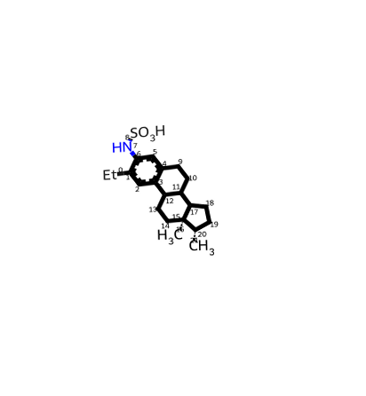 CCc1cc2c(cc1NS(=O)(=O)O)CCC1C2CC[C@@]2(C)C1CC[C@@H]2C